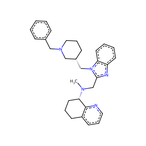 CN(Cc1nc2ccccc2n1C[C@H]1CCCN(Cc2ccccc2)C1)[C@H]1CCCc2cccnc21